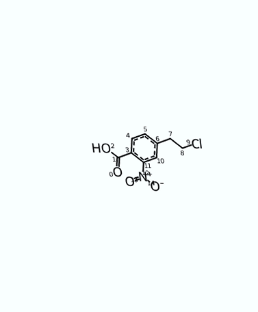 O=C(O)c1ccc(CCCl)cc1[N+](=O)[O-]